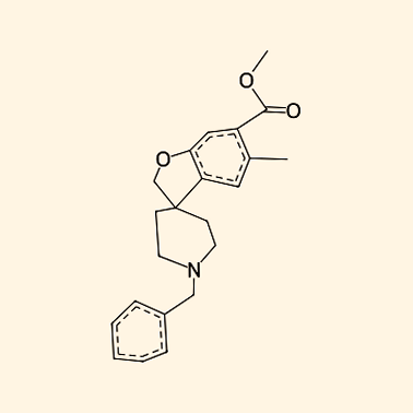 COC(=O)c1cc2c(cc1C)C1(CCN(Cc3ccccc3)CC1)CO2